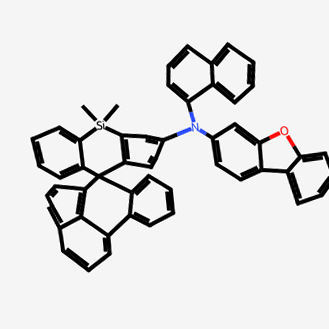 C[Si]1(C)c2ccccc2C2(c3ccccc3-c3cccc4cccc2c34)c2ccc(N(c3ccc4c(c3)oc3ccccc34)c3cccc4ccccc34)cc21